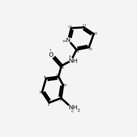 Nc1cccc(C(=O)Nc2ccccn2)c1